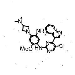 COc1cc(N2CC(N(C)C)C2)c(N)cc1Nc1ncc(Cl)c(-c2cnn3ccccc23)n1